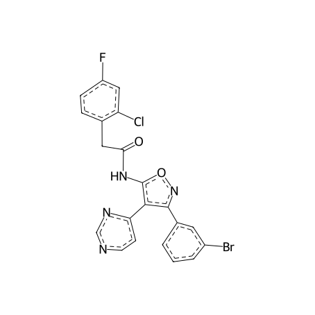 O=C(Cc1ccc(F)cc1Cl)Nc1onc(-c2cccc(Br)c2)c1-c1ccncn1